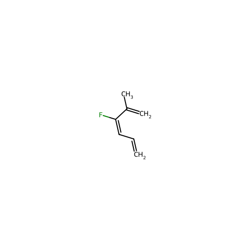 C=C/C=C(/F)C(=C)C